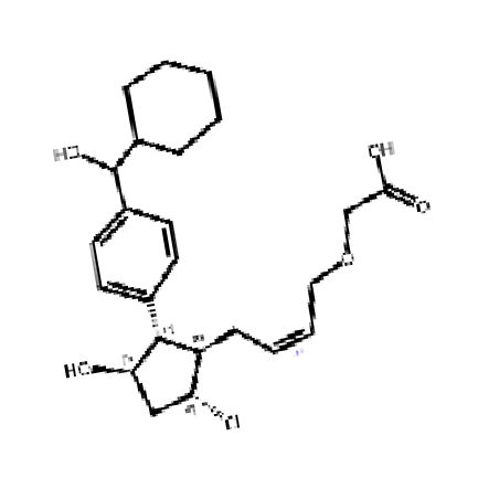 O=C(O)COC/C=C\C[C@@H]1[C@@H](c2ccc(C(O)C3CCCCC3)cc2)[C@H](O)C[C@H]1Cl